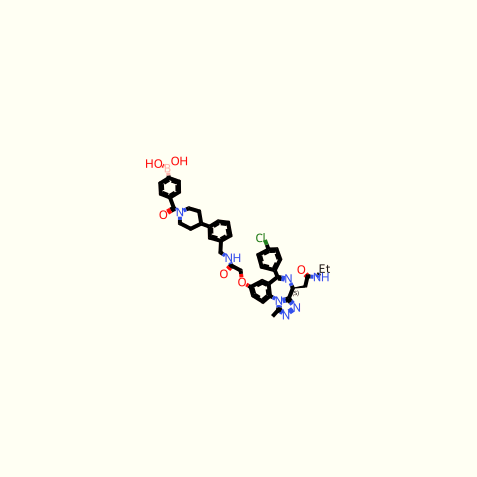 CCNC(=O)C[C@@H]1N=C(c2ccc(Cl)cc2)c2cc(OCC(=O)NCc3cccc(C4CCN(C(=O)c5ccc(B(O)O)cc5)CC4)c3)ccc2-n2c(C)nnc21